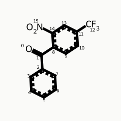 O=C(c1ccccc1)c1ccc(C(F)(F)F)cc1[N+](=O)[O-]